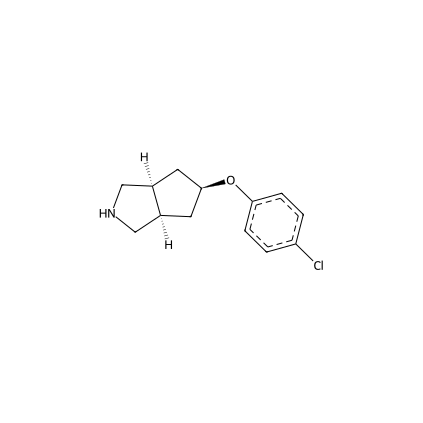 Clc1ccc(O[C@H]2C[C@H]3CNC[C@H]3C2)cc1